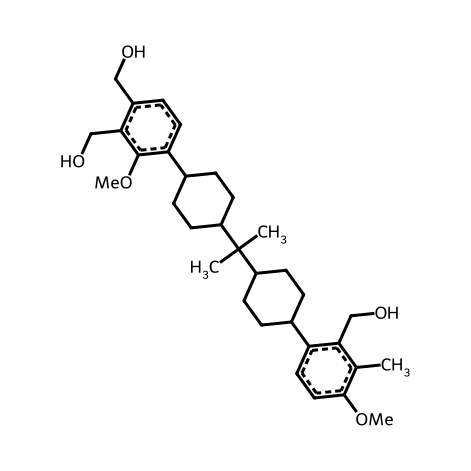 COc1ccc(C2CCC(C(C)(C)C3CCC(c4ccc(CO)c(CO)c4OC)CC3)CC2)c(CO)c1C